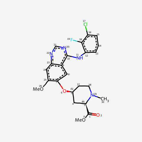 COC(=O)[C@H]1C[C@@H](Oc2cc3c(Nc4cccc(Cl)c4F)ncnc3cc2OC)CCN1C